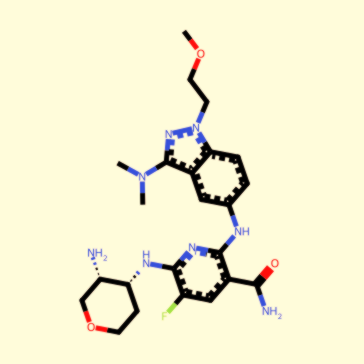 COCCn1nc(N(C)C)c2cc(Nc3nc(N[C@@H]4CCOC[C@@H]4N)c(F)cc3C(N)=O)ccc21